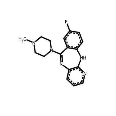 CN1CCN(C2=Nc3cccnc3Nc3ccc(F)cc32)CC1